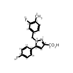 Cc1ccc(Cn2nc(C(=O)O)cc2-c2ccc(F)cc2)cc1F